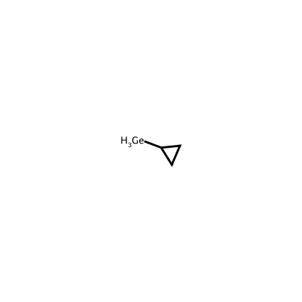 [GeH3][CH]1CC1